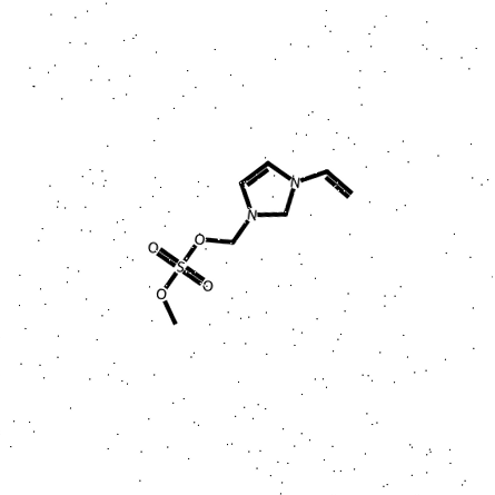 C=CN1C=CN(COS(=O)(=O)OC)C1